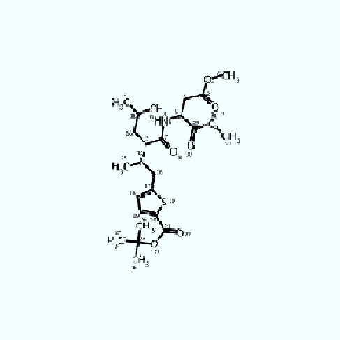 COC(=O)C[C@H](NC(=O)[C@H](CC(C)C)N(C)Cc1ccc(C(=O)OC(C)(C)C)s1)C(=O)OC